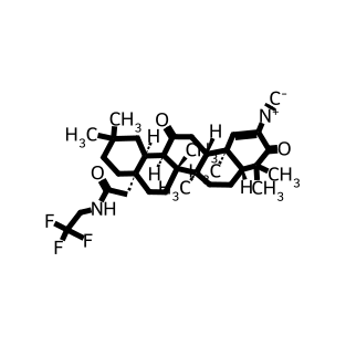 [C-]#[N+]C1=C[C@]2(C)[C@H]3CC(=O)[C@@H]4[C@@H]5CC(C)(C)CC[C@]5(CC(=O)NCC(F)(F)F)CC[C@@]4(C)[C@]3(C)CC[C@H]2C(C)(C)C1=O